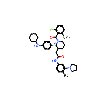 CCc1ccc(NC(=O)CC2CCCN(C(=O)c3c(C)cccc3F)[C@H]2c2ccc(NC3CCCCC3)cc2)cc1N1CCCC1